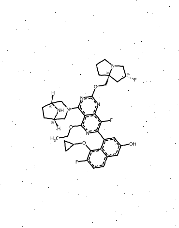 CCOc1nc(-c2cc(O)cc3ccc(F)c(OC4CC4)c23)c(F)c2nc(OC[C@@]34CCCN3C[C@H](F)C4)nc(N3C[C@H]4CC[C@@H](C3)N4)c12